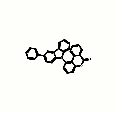 O=c1oc2cccc(-n3c4ccccc4c4cc(-c5ccccc5)ccc43)c2c2ccccc12